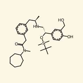 C[C@H](Cc1cccc(CC(=O)N(C)C2CCCCCC2)c1)NC[C@@H](O[Si](C)(C)C(C)(C)C)c1ccc(O)c(CO)c1